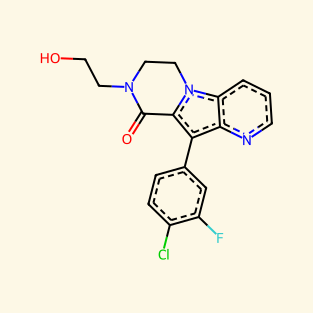 O=C1c2c(-c3ccc(Cl)c(F)c3)c3ncccc3n2CCN1CCO